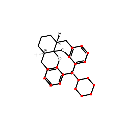 c1cc2c(c(P(C3CCCCC3)C3CCCCC3)c1)OC13Oc4c(cccc4P(C4CCCCC4)C4CCCCC4)C[C@H]1CCC[C@@H]3C2